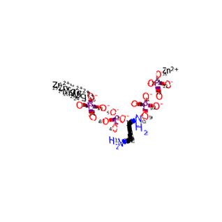 NCCN.O=P([O-])([O-])[O-].O=P([O-])([O-])[O-].O=P([O-])([O-])[O-].O=P([O-])([O-])[O-].[Mg+2].[Mg+2].[Mg+2].[Zn+2].[Zn+2].[Zn+2]